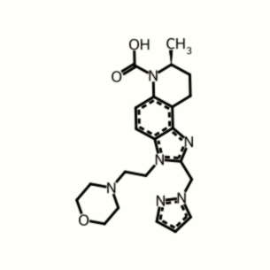 C[C@H]1CCc2c(ccc3c2nc(Cn2cccn2)n3CCN2CCOCC2)N1C(=O)O